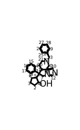 OC1CCCC1C(Cn1ccnc1)(c1ccccc1)C1CCN(Cc2ccccc2)CC1